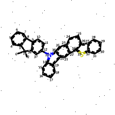 CC1(C)c2ccccc2-c2ccc(-n3c4ccccc4c4cc5c(ccc6c7ccccc7sc56)cc43)cc21